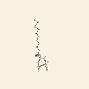 CCCCCCCCCCNc1ccc(Cl)c(Cl)c1